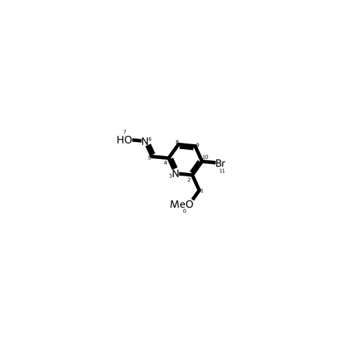 COCc1nc(C=NO)ccc1Br